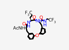 CC(=O)N[C@H]1Cc2cccc(c2)Oc2cccc(c2)C[C@@H](C(=O)NCC(F)(F)F)NC(=O)[C@H](CCC(F)(F)F)NC1=O